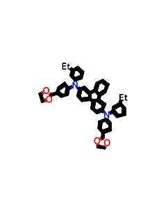 CCc1cccc(N(c2ccc(C3OCCO3)cc2)c2ccc3c4ccc(N(c5ccc(C6OCCO6)cc5)c5cccc(CC)c5)cc4c4ccccc4c3c2)c1